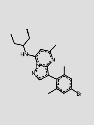 CCC(CC)Nc1cc(C)nc2c(-c3c(C)cc(Br)cc3C)cnn12